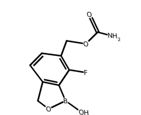 NC(=O)OCc1ccc2c(c1F)B(O)OC2